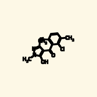 Cc1ccc(Cl)c(C(=O)c2c(C)nn(C)c2O)c1Cl